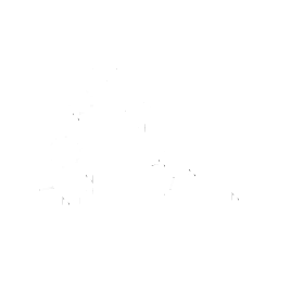 CC1(C)Cc2c(c3c(n2-c2cc(F)c(C(N)=O)c(N[C@H]4CC[C@H](NC(=O)NCCN5CCCCC5)CC4)c2)CCC3)S(=O)(=O)C1